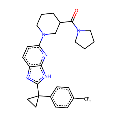 O=C(C1CCCN(c2ccc3nc(C4(c5ccc(C(F)(F)F)cc5)CC4)[nH]c3n2)C1)N1CCCC1